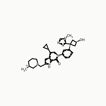 C[C@H]1CCCN(Cc2cc3c(C4CC4)cn(-c4cccc([C@]5(c6nncn6C)C[C@H](O)C5)c4)c(=O)c3[nH]2)C1